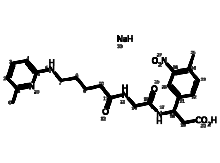 Cc1cccc(NCCCCC(=O)NCC(=O)NC(CC(=O)O)c2ccc(C)c([N+](=O)[O-])c2)n1.[NaH]